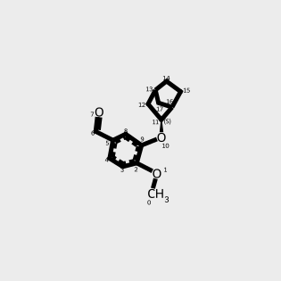 COc1ccc(C=O)cc1O[C@H]1CC2CCC1C2